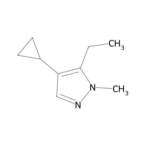 CCc1c(C2CC2)cnn1C